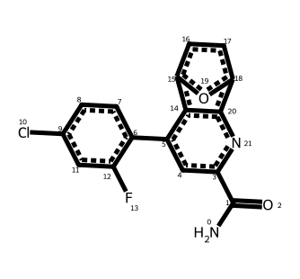 NC(=O)c1cc(-c2ccc(Cl)cc2F)c2c3ccc(o3)c2n1